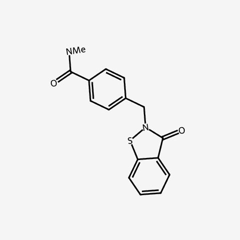 CNC(=O)c1ccc(Cn2sc3ccccc3c2=O)cc1